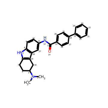 CN(C)C1CCc2[nH]c3ccc(NC(=O)c4ccc(-c5ccccc5)cc4)cc3c2C1